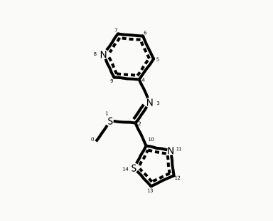 CSC(=Nc1cccnc1)c1nccs1